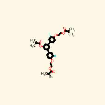 C=C(C)C(=O)OCCOc1ccc(-c2cc(OC(=O)C(=C)C)cc(-c3ccc(OCCOC(=O)C(=C)CC)c(F)c3)c2)cc1F